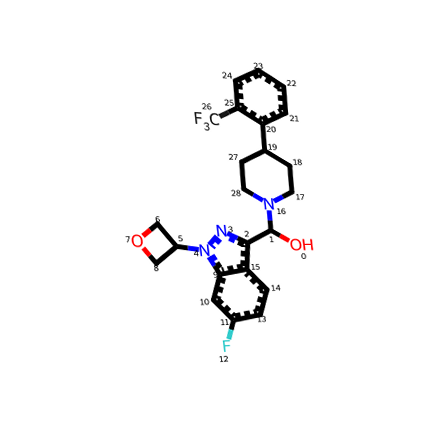 OC(c1nn(C2COC2)c2cc(F)ccc12)N1CCC(c2ccccc2C(F)(F)F)CC1